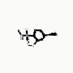 CNS(=O)(=O)c1ccc(C#N)cc1OC